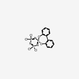 ClP1(Cl)=NP(Cl)(Cl)=NP2(=N1)Oc1ccccc1-c1ccccc1O2